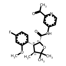 COc1cc(F)ccc1[C@@H]1[C@H](C(=O)Nc2ccnc(C(C)=O)c2)OC(C)(C)[C@H]1C